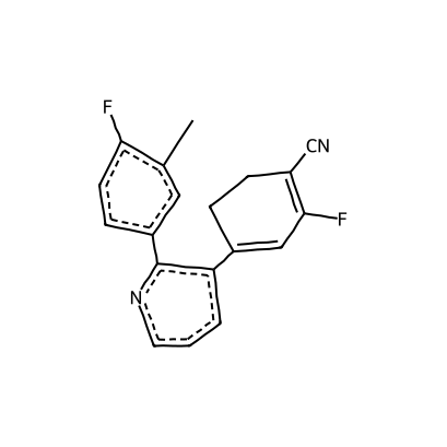 Cc1cc(-c2ncccc2C2=CC(F)=C(C#N)CC2)ccc1F